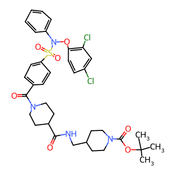 CC(C)(C)OC(=O)N1CCC(CNC(=O)C2CCN(C(=O)c3ccc(S(=O)(=O)N(Oc4ccc(Cl)cc4Cl)c4ccccc4)cc3)CC2)CC1